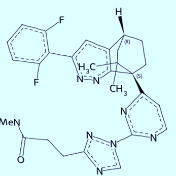 CNC(=O)CCc1ncn(-c2nccc([C@]34CC[C@H](CC3(C)C)c3cc(-c5c(F)cccc5F)nnc34)n2)n1